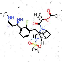 CN/C=C\C(=N)c1cccc(C[C@H]2[C@@H](NS(C)(=O)=O)C3CC(C3)N2C(=O)[C@@H](C)OC(C)=O)c1F